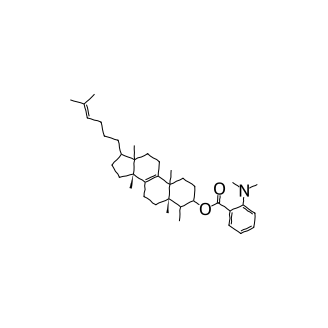 CC(C)=CCCCC1CC[C@@]2(C)C3=C(CCC12C)C1(C)CCC(OC(=O)c2ccccc2N(C)C)C(C)[C@]1(C)CC3